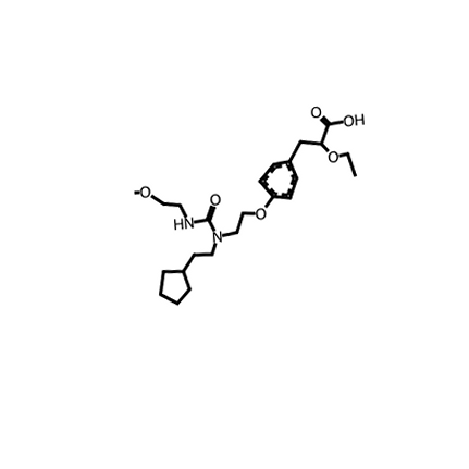 CCOC(Cc1ccc(OCCN(CCC2CCCC2)C(=O)NCCOC)cc1)C(=O)O